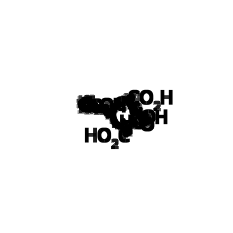 O=C(O)CN1CCCC(CC(O)COc2ccccc2)CCCN(CC(=O)O)CCN(CP(=O)(O)O)CC1